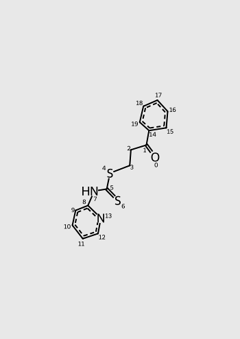 O=C(CCSC(=S)Nc1ccccn1)c1ccccc1